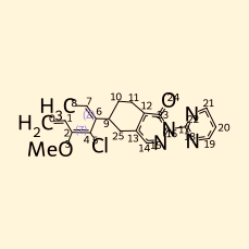 C=C/C(OC)=C(Cl)\C(=C/C)C1CCc2c(cnn(-c3ncccn3)c2=O)C1